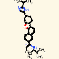 C/C=C(\NC(C)C(C)C)c1ccc2c(ccc3c4ccc(-c5cnc(C(C)C)[nH]5)cc4oc23)c1